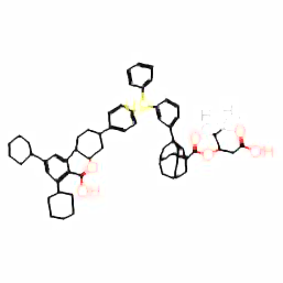 CC(C)C(CC(=O)O)OC(=O)C12CC3CC(C1)CC(c1cccc([SH](c4ccccc4)c4ccc(C5CCC(c6cc(C7CCCCC7)cc(C7CCCCC7)c6C(=O)O)CC5)cc4)c1)(C3)C2